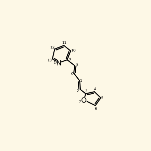 C(/C=C/c1ccco1)=C\c1ccccn1